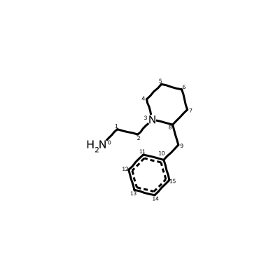 NCCN1CCCCC1Cc1ccccc1